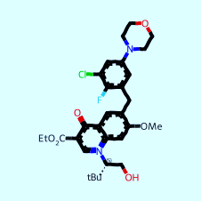 CCOC(=O)c1cn([C@H](CO)C(C)(C)C)c2cc(OC)c(Cc3cc(N4CCOCC4)cc(Cl)c3F)cc2c1=O